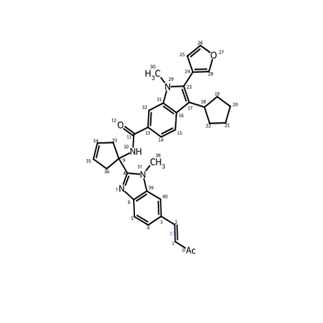 CC(=O)/C=C/c1ccc2nc(C3(NC(=O)c4ccc5c(C6CCCC6)c(-c6ccoc6)n(C)c5c4)CC=CC3)n(C)c2c1